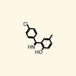 Cc1ccc(O)c(C(=N)c2ccc(Cl)cc2)c1